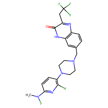 CN(F)c1ccc(N2CCN(Cc3ccc4nc(CC(F)(F)F)c(=O)[nH]c4c3)CC2)c(F)n1